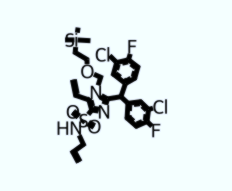 C=CCNS(=O)(=O)c1nc(C(c2ccc(F)c(Cl)c2)c2ccc(F)c(Cl)c2)n(COCC[Si](C)(C)C)c1C=C